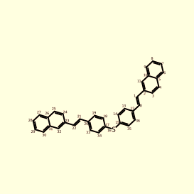 C(=C\c1ccc2ccccc2c1)/c1ccc(Sc2ccc(/C=C/c3ccc4ccccc4c3)cc2)cc1